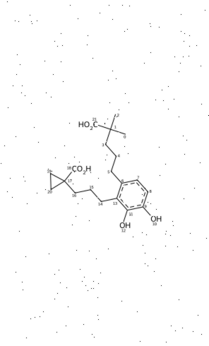 CC(C)(CCCc1ccc(O)c(O)c1CCCC1(C(=O)O)CC1)C(=O)O